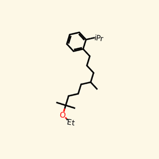 CCOC(C)(C)CCCC(C)CCCc1ccccc1C(C)C